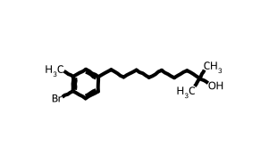 Cc1cc(CCCCCCCC(C)(C)O)ccc1Br